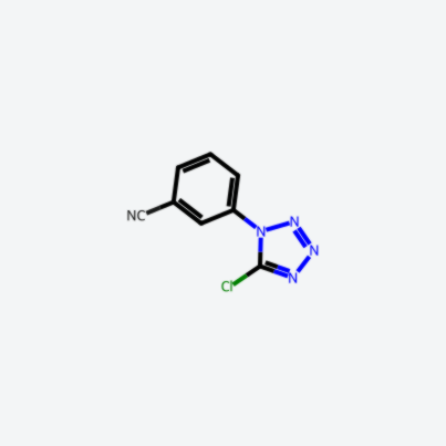 N#Cc1cccc(-n2nnnc2Cl)c1